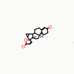 C[C@]12CCC3C(CCC4=CC(=O)CC[C@@H]43)C1C1CC1[C@@]21C=CC(=O)O1